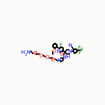 CCOc1ccccc1-c1ncc(C2(C(=O)N[C@@H]3CCN(CCOCCOCCOCCOCCN)C3)CCN(c3ccc(C(F)(F)F)cc3C#N)CC2)cc1F